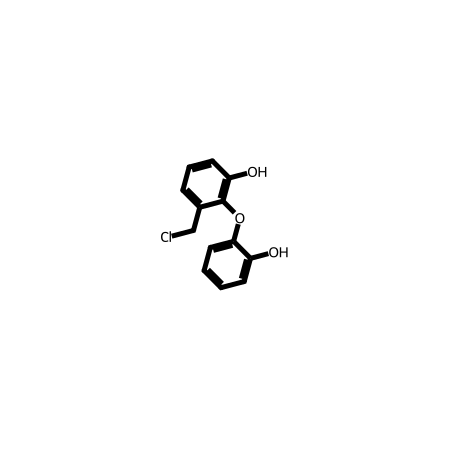 Oc1ccccc1Oc1c(O)cccc1CCl